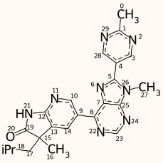 Cc1ncc(-c2nc3c(-c4cnc5c(c4)C(C)(CC(C)C)C(=O)N5)ncnc3n2C)cn1